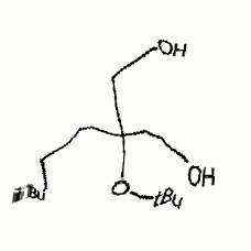 CCC(C)CC(CO)(CO)OC(C)(C)C